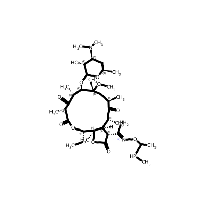 CC[C@@H]1OC(=O)[C@H](C)C(=O)[C@H](C)[C@@H](OC2O[C@H](C)C[C@H](N(C)C)[C@H]2O)[C@](C)(OC)C[C@@H](C)C(=O)[C@H](C)[C@H]2[C@H](/C(N)=N/OC(C)PC)C(=O)O[C@]21C